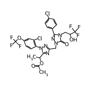 CC(=O)OC(C)c1nc(Cn2nc(-c3ccc(Cl)cc3)n(CC(O)C(F)(F)F)c2=O)nn1-c1ccc(OC(F)(F)F)cc1Cl